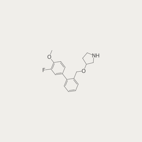 COc1ccc(-c2ccccc2COC2CCNC2)cc1F